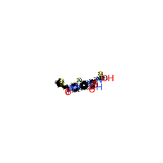 O=C(C=Cc1cccs1)N1CCN(c2ccc(N3C[C@H](CNC(O)=S)OC3=O)cc2F)CC1